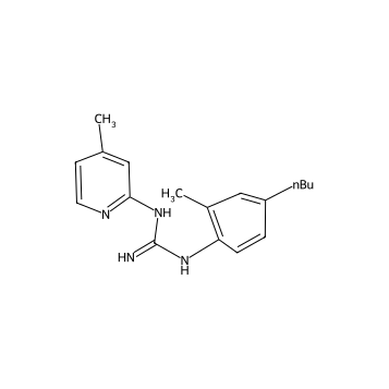 CCCCc1ccc(NC(=N)Nc2cc(C)ccn2)c(C)c1